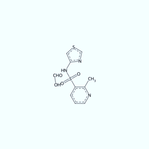 Cc1ncccc1S(=O)(=O)Nc1cscn1.O=CO